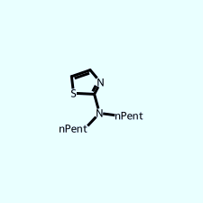 CCCCCN(CCCCC)c1nccs1